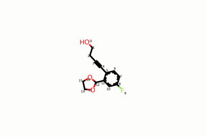 OCCC#Cc1ccc(F)cc1C1OCCO1